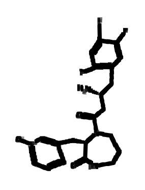 N[C@@H](CC(=O)N1CCCNC(=O)[C@H]1Cc1ccc[n+]([O-])c1)Cc1cc(F)c(F)cc1F